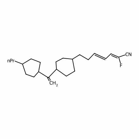 C=C(C1CCC(CCC)CC1)C1CCC(CCC=CC=C(F)C#N)CC1